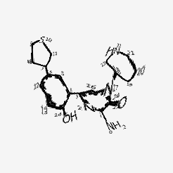 Nc1nc(-c2cc(C3CCSC3)ccc2O)cn(C2CCCNC2)c1=O